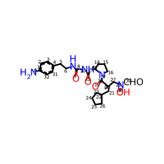 Nc1ccc(CCNC(=O)NC(=O)[C@@H]2CCCN2C(=O)[C@H](CC2CCCC2)CN(O)C=O)cc1